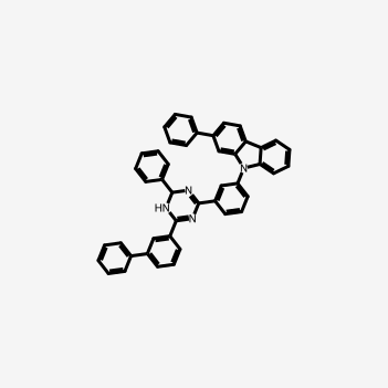 c1ccc(-c2cccc(C3=NC(c4cccc(-n5c6ccccc6c6ccc(-c7ccccc7)cc65)c4)=NC(c4ccccc4)N3)c2)cc1